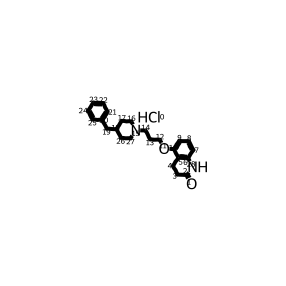 Cl.O=C1CCc2c(cccc2OCCCN2CCC(Cc3ccccc3)CC2)N1